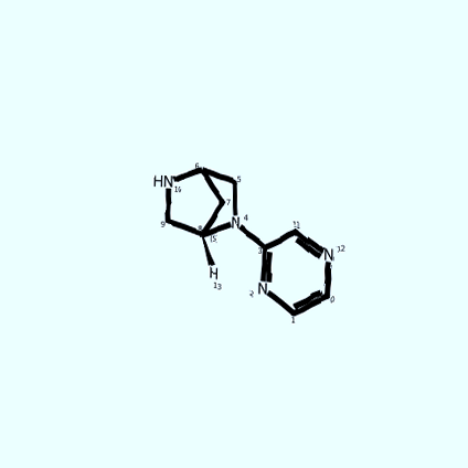 c1cnc(N2CC3C[C@H]2CN3)cn1